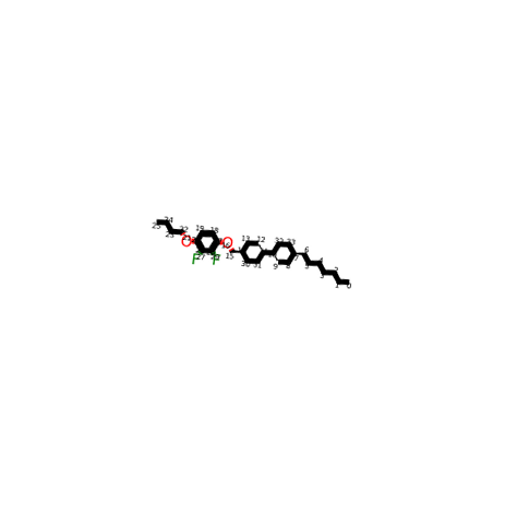 CCCCCCC[C@H]1CC[C@H]([C@H]2CC[C@H](COc3ccc(OCCCC)c(F)c3F)CC2)CC1